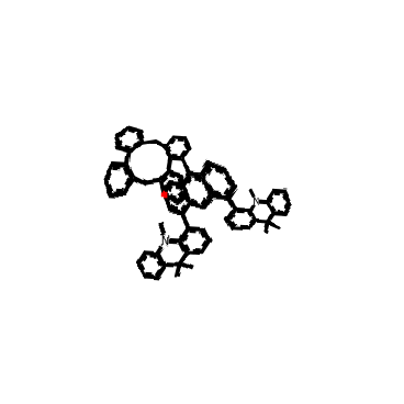 CN1c2ccccc2C(C)(C)c2cccc(-c3cccc4c(-c5cccc6c5-c5ccccc5Cc5ccccc5-c5ccccc5C6)c5cccc(-c6cccc7c6N(C)c6ccccc6C7(C)C)c5cc34)c21